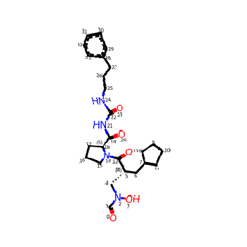 O=CN(O)C[C@@H](CC1CCCC1)C(=O)N1CCC[C@H]1C(=O)NC(=O)NCCCc1ccccc1